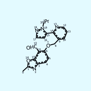 Cc1nc2ccc(OCc3cccnc3-c3ccnn3C(C)C)c(C=O)c2o1